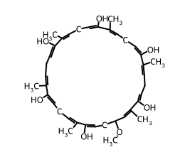 COC1/C=C(C)\C(O)=C/C/C=C(C)\C(O)=C/C/C=C(C)\C(O)=C/C/C=C(C)\C(O)=C/C/C=C(C)\C(O)=C/C/C=C(C)\C(O)=C/C1